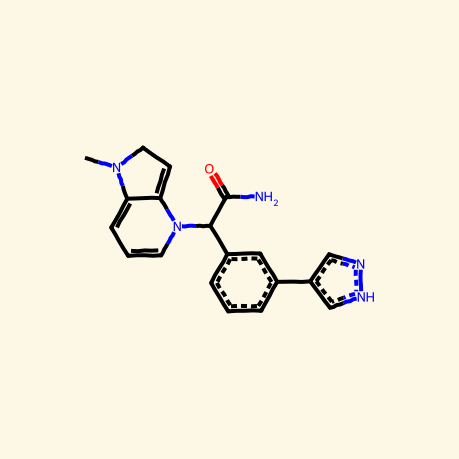 CN1CC=C2C1=CC=CN2C(C(N)=O)c1cccc(-c2cn[nH]c2)c1